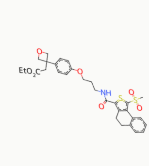 CCOC(=O)CC1(c2ccc(OCCCNC(=O)c3sc(S(C)(=O)=O)c4c3CCc3ccccc3-4)cc2)COC1